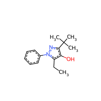 CCc1c(O)c(C(C)(C)C)nn1-c1ccccc1